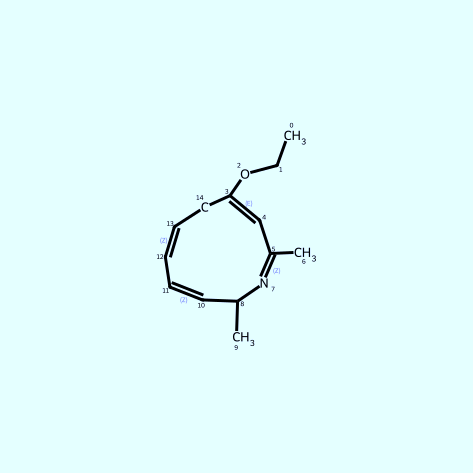 CCO/C1=C/C(C)=N\C(C)/C=C\C=C/C1